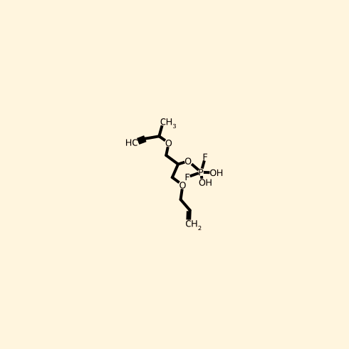 C#CC(C)OCC(COCC=C)OP(O)(O)(F)F